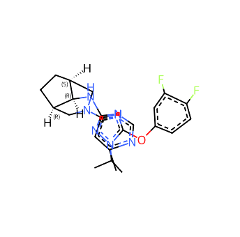 Cc1cc(N2C[C@H]3CC[C@@H](C2)[C@H]3Nc2nc(Oc3ccc(F)c(F)c3)n(C(C)C)n2)ncn1